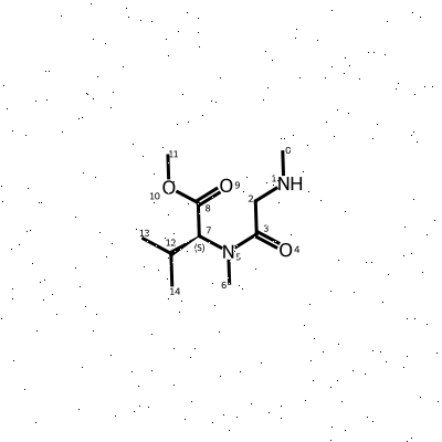 CNCC(=O)N(C)[C@H](C(=O)OC)C(C)C